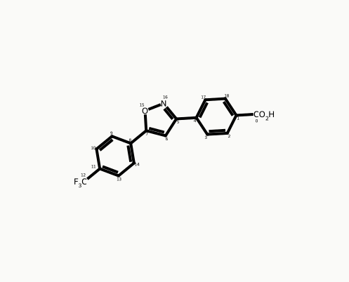 O=C(O)c1ccc(-c2cc(-c3ccc(C(F)(F)F)cc3)on2)cc1